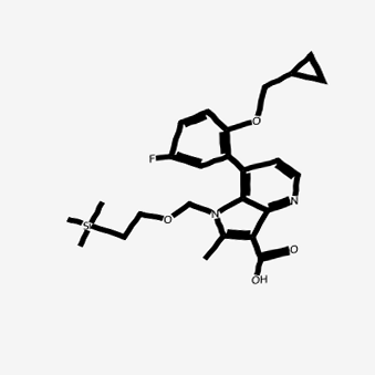 Cc1c(C(=O)O)c2nccc(-c3cc(F)ccc3OCC3CC3)c2n1COCC[Si](C)(C)C